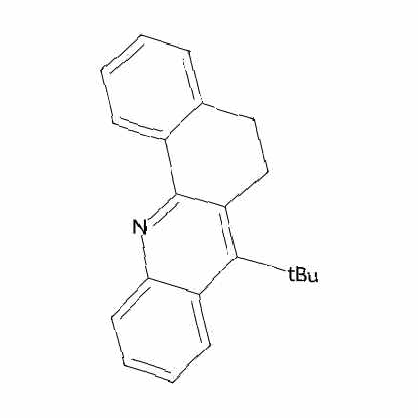 CC(C)(C)c1c2c(nc3ccccc13)-c1ccccc1CC2